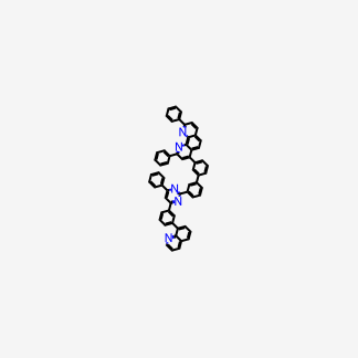 c1ccc(-c2cc(-c3cccc(-c4cccc5cccnc45)c3)nc(-c3cccc(-c4cccc(-c5cc(-c6ccccc6)nc6c5ccc5ccc(-c7ccccc7)nc56)c4)c3)n2)cc1